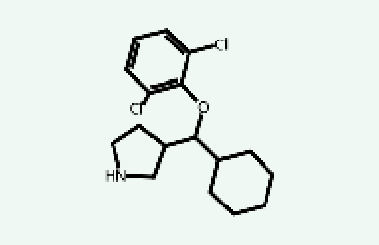 Clc1cccc(Cl)c1OC(C1CCCCC1)C1CCNC1